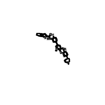 CN1CCC(c2ccc(Nc3cc(-c4ccc(F)c(NC(=O)c5cc6c(s5)C5CCC6C5)c4)cn(C)c3=O)nn2)CC1